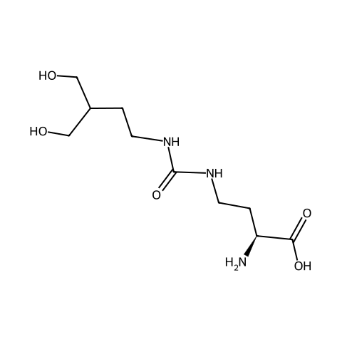 N[C@@H](CCNC(=O)NCCC(CO)CO)C(=O)O